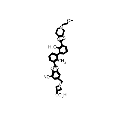 Cc1c(-c2nc3cc(CN4CC(C(=O)O)C4)cc(C#N)c3o2)cccc1-c1cccc(-c2nc3c(s2)CN(CCO)CC3)c1C